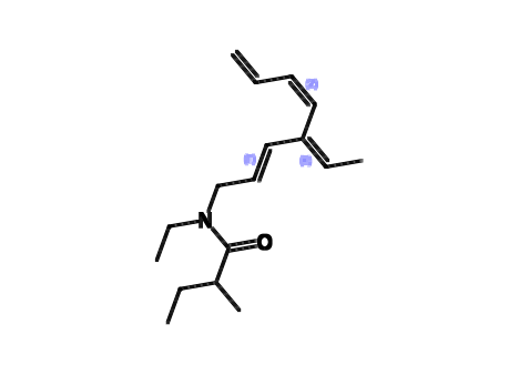 C=C\C=C/C(/C=C/CN(CC)C(=O)C(C)CC)=C\C